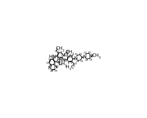 C=Cc1cnc(Nc2cc(CC)c(N3CCC(N4CCN(C)CC4)CC3)nc2OC)nc1Nc1ccc2nccnc2c1SC